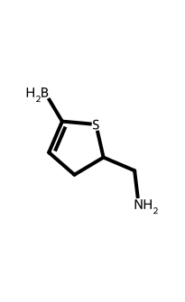 BC1=CCC(CN)S1